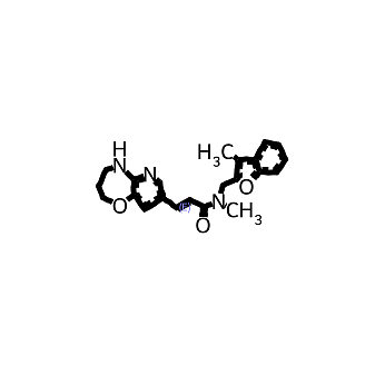 Cc1c(CN(C)C(=O)/C=C/c2cnc3c(c2)OCCCN3)oc2ccccc12